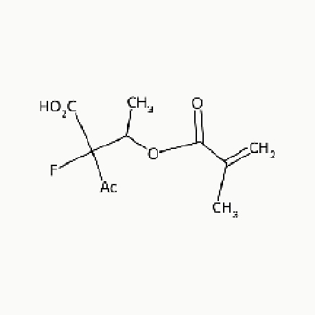 C=C(C)C(=O)OC(C)C(F)(C(C)=O)C(=O)O